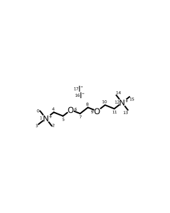 C[N+](C)(C)CCOCCOCC[N+](C)(C)C.[I-].[I-]